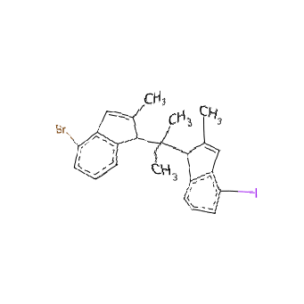 CC1=Cc2c(Br)cccc2C1C(C)(C)C1C(C)=Cc2c(I)cccc21